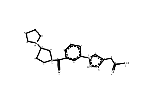 O=C(O)Cc1cn(-c2cccc(C(=O)N3CCC(N4CCCC4)C3)c2)nn1